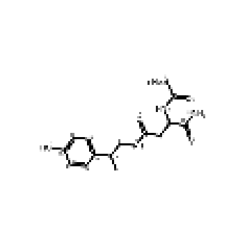 CCCCCCCC(=O)NC(CC(=O)NCC(C)c1ccc(O)cc1)C(N)=O